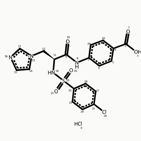 Cl.O=C(O)c1ccc(NC(=O)[C@H](Cn2ccnc2)NS(=O)(=O)c2ccc(Cl)cc2)cc1